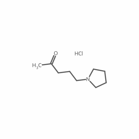 CC(=O)CCCN1CCCC1.Cl